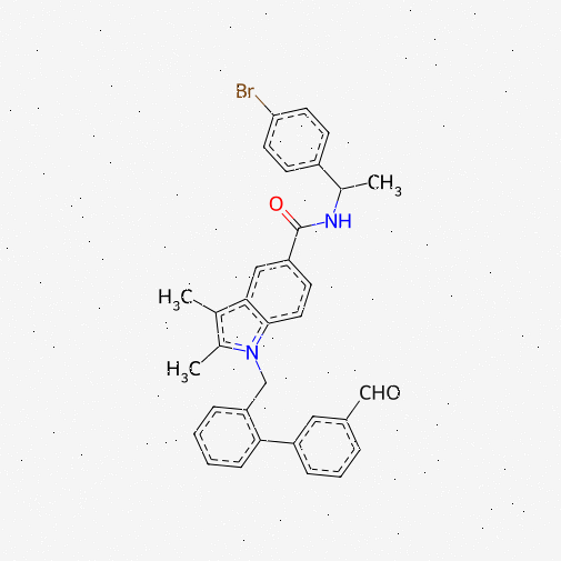 Cc1c(C)n(Cc2ccccc2-c2cccc(C=O)c2)c2ccc(C(=O)NC(C)c3ccc(Br)cc3)cc12